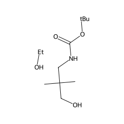 CC(C)(CO)CNC(=O)OC(C)(C)C.CCO